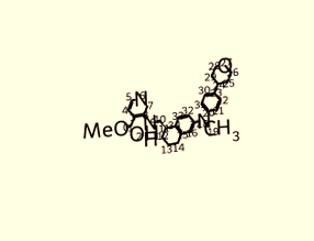 COC(O)c1ccncc1NC[C@@H]1CCCc2cc(N(C)c3ccc(C4CCOCC4)cc3)ccc21